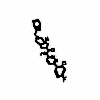 O=C(Nc1ccc(-c2ccc(F)cc2Cl)nn1)C1CC2CN(CC3CC4C=CC3C4)C[C@@H]2C1